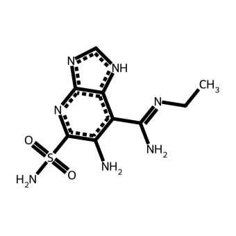 CCN=C(N)c1c(N)c(S(N)(=O)=O)nc2nc[nH]c12